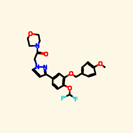 COc1ccc(COc2cc(-c3ccn(CC(=O)N4CCOCC4)n3)ccc2OC(F)F)cc1